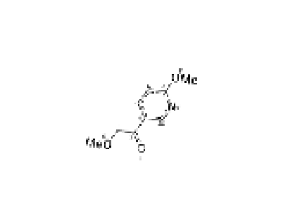 COCC(=O)c1ccc(OC)nc1